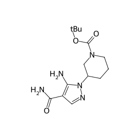 CC(C)(C)OC(=O)N1CCCC(n2ncc(C(N)=O)c2N)C1